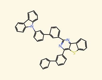 c1ccc(-c2cccc(-c3nc(-c4cccc(-c5cccc(-n6c7ccccc7c7ccccc76)c5)c4)nc4c3sc3ccccc34)c2)cc1